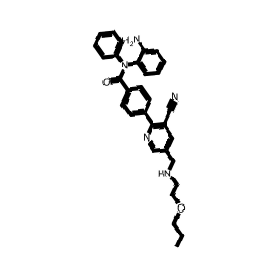 CCCOCCNCc1cnc(-c2ccc(C(=O)N(c3ccccc3)c3ccccc3N)cc2)c(C#N)c1